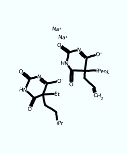 C=CCC1(C(C)CCC)C(=O)NC(=O)N=C1[O-].CCC1(CCC(C)C)C(=O)NC(=O)N=C1[O-].[Na+].[Na+]